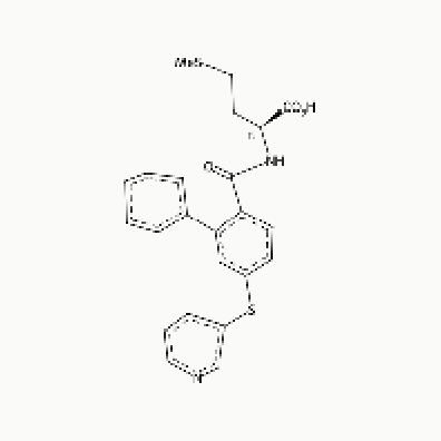 CSCC[C@H](NC(=O)c1ccc(Sc2cccnc2)cc1-c1ccccc1)C(=O)O